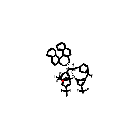 FC1c2ccc(cc2)[C@@H]([C@H](c2ccccc2)P2CC3=C(c4c(ccc5ccccc45)C2)C2CC=CC=C2C=C3)NP(c2cc(C(F)(F)F)cc(C(F)(F)F)c2)c2cc1cc(C(F)(F)F)c2